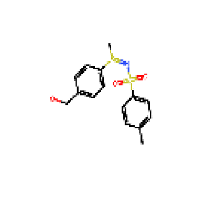 Cc1ccc(S(=O)(=O)N=S(C)c2ccc(CO)cc2)cc1